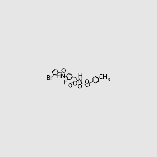 Cc1ccc(-c2ccc(C(=O)NC(Cc3ccc(NC(=O)c4cccc(Br)c4)c(F)c3)OC=O)o2)cc1